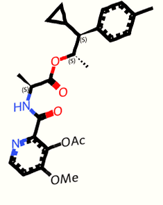 COc1ccnc(C(=O)N[C@@H](C)C(=O)O[C@@H](C)[C@H](c2ccc(C)cc2)C2CC2)c1OC(C)=O